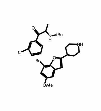 CC(NC(C)(C)C)C(=O)c1cccc(Cl)c1.COc1cc(Br)c2oc(C3CCNCC3)cc2c1